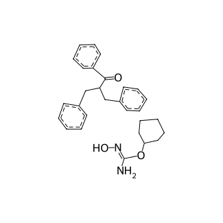 NC(=NO)OC1CCCCC1.O=C(c1ccccc1)C(Cc1ccccc1)Cc1ccccc1